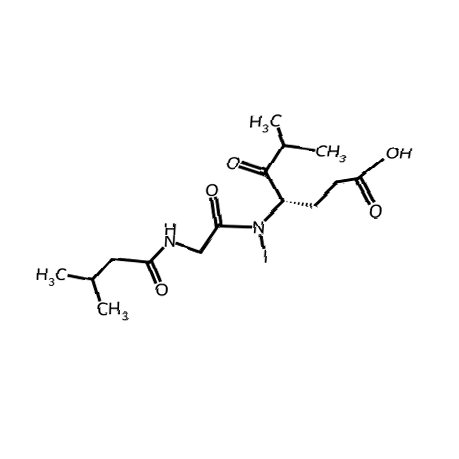 CC(C)CC(=O)NCC(=O)N(I)[C@@H](CCC(=O)O)C(=O)C(C)C